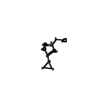 ClCc1noc(C2CC2)n1